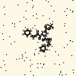 CC(C)(C)OC(=O)N1C[C@@H](C(=O)N[C@H]2C[C@@H]2c2ccccc2)[C@H](C(=O)N[C@H]2C[C@@H]2c2cccnc2)C1